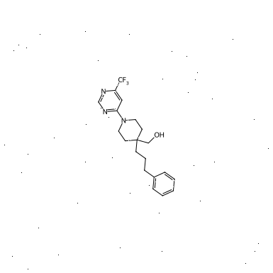 OCC1(CCCc2ccccc2)CCN(c2cc(C(F)(F)F)ncn2)CC1